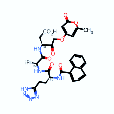 Cc1cc(OCC(=O)[C@H](CC(=O)O)NC(=O)[C@@H](NC(=O)[C@H](CCc2nnn[nH]2)NC(=O)c2cccc3ccccc23)C(C)C)cc(=O)o1